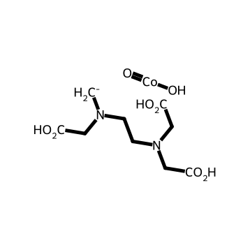 [CH2-]N(CCN(CC(=O)O)CC(=O)O)CC(=O)O.[O]=[Co][OH]